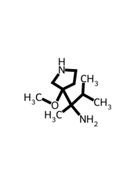 COC1(C(C)(N)C(C)C)CCNC1